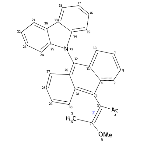 CO/C(C)=C(\C(C)=O)c1c2ccccc2c(-n2c3ccccc3c3ccccc32)c2ccccc12